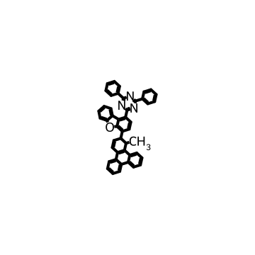 CC1c2c(c3ccccc3c3ccccc23)C=CC1c1ccc(-c2nc(-c3ccccc3)nc(-c3ccccc3)n2)c2c1oc1ccccc12